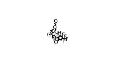 COCCOCC(=O)Nc1c([N+](=O)[O-])cnn1-c1c(Cl)cc(C(F)(F)F)c(F)c1Cl